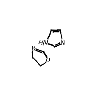 C1=NCCO1.c1c[nH]cn1